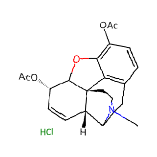 CC(=O)Oc1ccc2c3c1OC1[C@@H](OC(C)=O)C=C[C@H]4C(C2)N(C)CC[C@]314.Cl